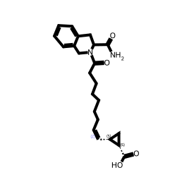 NC(=O)C1Cc2ccccc2CN1C(=O)CCCCCC/C=C\[C@@H]1C[C@@H]1C(=O)O